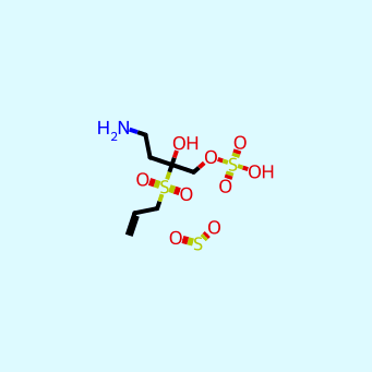 C=CCS(=O)(=O)C(O)(CCN)COS(=O)(=O)O.O=S=O